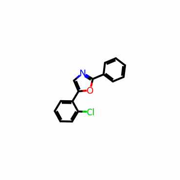 Clc1ccccc1-c1cnc(-c2ccccc2)o1